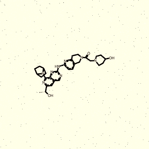 C[C@@H](O)c1cc2cnc(Nc3ccc4c(n3)CCN(C(=O)CN3CCC(O)CC3)C4)nc2c(N2C3CCC2CC3)n1